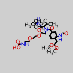 COC(Cc1ccc(C(=O)N(CCOCCOCCNC(=O)O)C(C(=O)NC(C)(C)C)C(C)C)cc1NC=O)OC